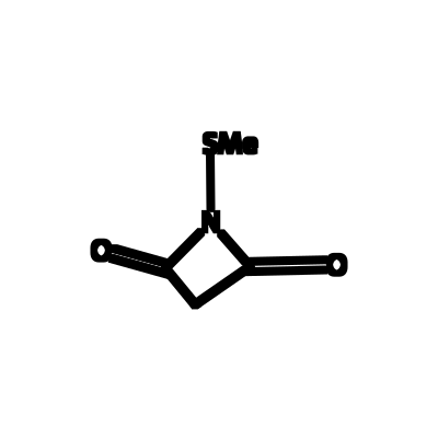 CSN1C(=O)CC1=O